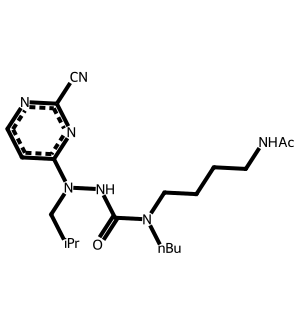 CCCCN(CCCCNC(C)=O)C(=O)NN(CC(C)C)c1ccnc(C#N)n1